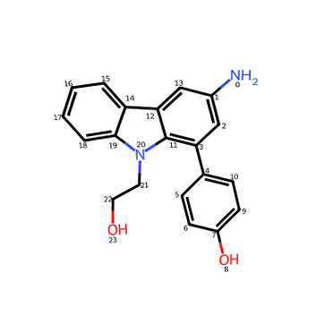 Nc1cc(-c2ccc(O)cc2)c2c(c1)c1ccccc1n2CCO